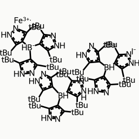 CC(C)(C)c1n[nH]c(C(C)(C)C)c1[BH-](c1c(C(C)(C)C)n[nH]c1C(C)(C)C)c1c(C(C)(C)C)n[nH]c1C(C)(C)C.CC(C)(C)c1n[nH]c(C(C)(C)C)c1[BH-](c1c(C(C)(C)C)n[nH]c1C(C)(C)C)c1c(C(C)(C)C)n[nH]c1C(C)(C)C.CC(C)(C)c1n[nH]c(C(C)(C)C)c1[BH-](c1c(C(C)(C)C)n[nH]c1C(C)(C)C)c1c(C(C)(C)C)n[nH]c1C(C)(C)C.[Fe+3].[I-]